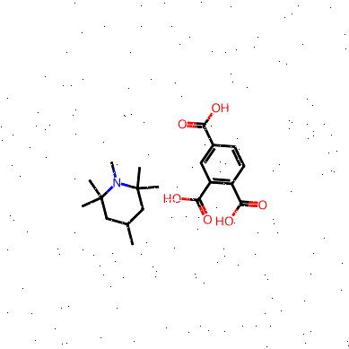 CC1CC(C)(C)N(C)C(C)(C)C1.O=C(O)c1ccc(C(=O)O)c(C(=O)O)c1